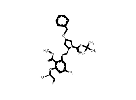 COC(=O)c1c(OC[C@H]2C[C@H](OCc3ccccc3)CN2C(=O)OC(C)(C)C)cc(C)cc1O[C@H](C)CF